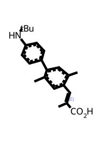 C/C(=C\c1cc(C)c(-c2ccc(NC(C)(C)C)cc2)cc1C)C(=O)O